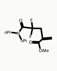 C=C(CC(F)(F)C(=O)N(CCC)CCC)C(=O)OC